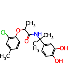 Cc1ccc(OC(C)C(=O)NC(C)(C)c2ccc(O)c(O)c2)c(Cl)c1